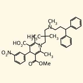 COC(=O)C1=C(C)N(CC(C)(C)CN(C)CCC(c2ccccc2)c2ccccc2)C(C)=C(C(=O)O)C1c1cccc([N+](=O)[O-])c1